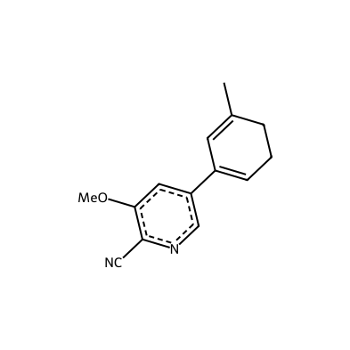 COc1cc(C2=CCCC(C)=C2)cnc1C#N